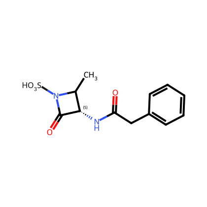 CC1[C@H](NC(=O)Cc2ccccc2)C(=O)N1S(=O)(=O)O